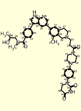 Cc1cc(-c2cnc3[nH]cc(-c4ccc(C(=O)N(C)CC(C)O)cc4)c3c2)cc2c1CN(CCC(=O)N1CCN(c3ccc(N4CCC(=O)NC4=O)cc3)CC1)CC2